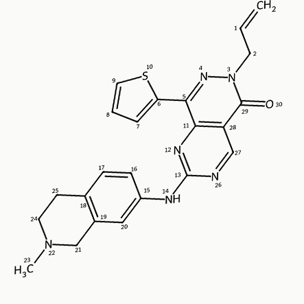 C=CCn1nc(-c2cccs2)c2nc(Nc3ccc4c(c3)CN(C)CC4)ncc2c1=O